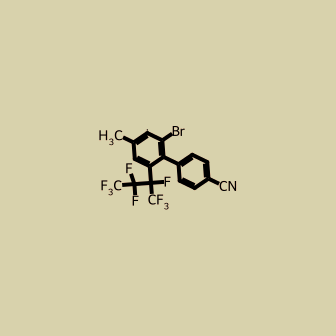 Cc1[c]c(Br)c(-c2ccc(C#N)cc2)c(C(F)(C(F)(F)F)C(F)(F)C(F)(F)F)c1